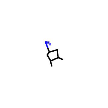 CC1CC(N)CC1C